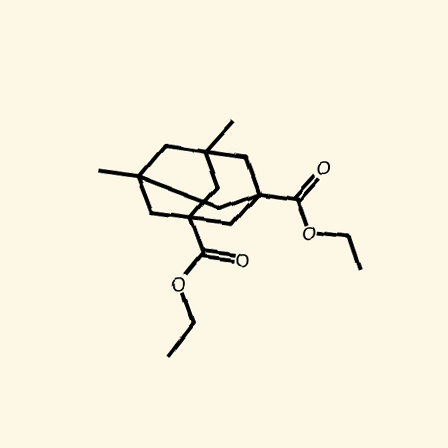 CCOC(=O)C12CC3(C)CC(C)(C1)CC(C(=O)OCC)(C3)C2